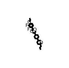 CCCC1CCC(C2CCC(C3COC(c4ccc(OCC)c(F)c4F)OC3)CC2)CO1